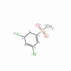 CS(=O)(=O)C1=CC(Br)=CC(F)C1